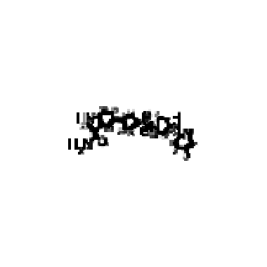 Cc1ccc(NC2CCN(S(=O)(=O)c3ccc(-c4ccc5[nH]cc(C(N)=O)c5c4)cc3)CC2)nc1